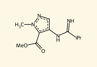 COC(=O)c1c(NC(=N)C(C)C)cnn1C